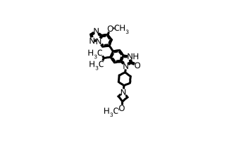 COc1cc(-c2cc3[nH]c(=O)n(C4CCC(N5CC(OC)C5)CC4)c3cc2C(C)C)cn2ncnc12